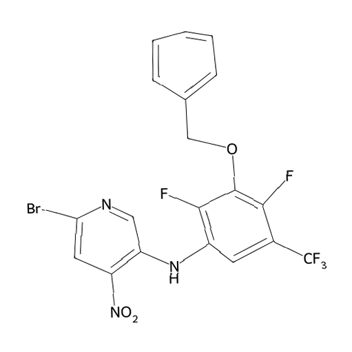 O=[N+]([O-])c1cc(Br)ncc1Nc1cc(C(F)(F)F)c(F)c(OCc2ccccc2)c1F